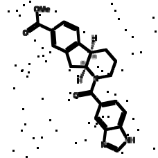 COC(=O)c1ccc2c(c1)C[C@H]1[C@@H]2CCCN1C(=O)c1ccc2[nH]cnc2c1